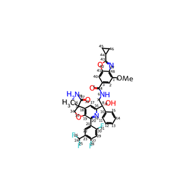 COc1cc(C(=O)NC[C@@](O)(c2ccccc2)c2cc3c(c(-c4cc(C(F)F)c(F)cc4F)n2)OC[C@]3(C)C(N)=O)cc2oc(C3CC3)nc12